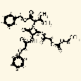 C=C(C)C(C(=O)OCc1ccccc1)N1C(=O)C(NC(=O)COc2ccccc2)C1SC(=O)COC(=O)OCC(Cl)(Cl)Cl